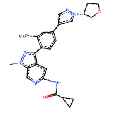 COc1cc(-c2cnn([C@@H]3CCOC3)c2)ccc1-c1nn(C)c2cnc(NC(=O)C3CC3)cc12